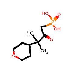 CC(C)(C(=O)CP(=O)(O)O)C1CCOCC1